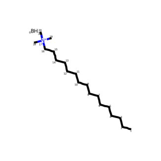 B.CCCCCCCCCCCCCCCC[N+](C)(C)C